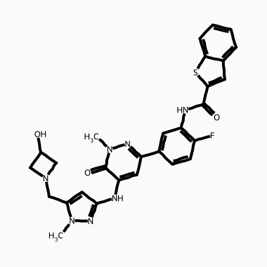 Cn1nc(Nc2cc(-c3ccc(F)c(NC(=O)c4cc5ccccc5s4)c3)nn(C)c2=O)cc1CN1CC(O)C1